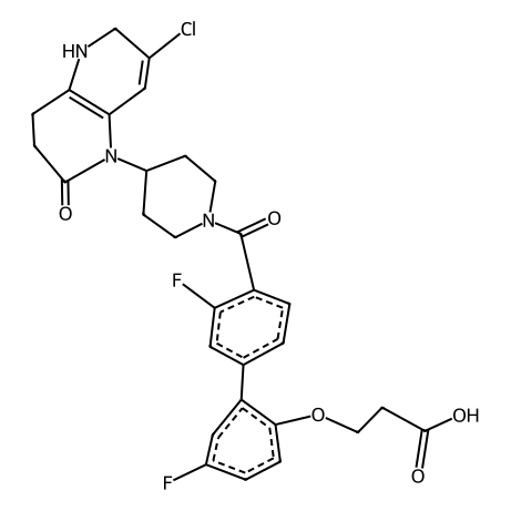 O=C(O)CCOc1ccc(F)cc1-c1ccc(C(=O)N2CCC(N3C(=O)CCC4=C3C=C(Cl)CN4)CC2)c(F)c1